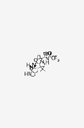 CC(C)(C)[C@H](NC(=O)C(F)(F)F)C(=O)N1CC2C(C)(C)C2([C@@H](C#N)C[C@H]2CCNC2=O)C1C(N)=O